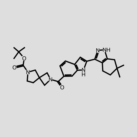 CC1(C)CCc2c(-c3cc4ccc(C(=O)N5CC6(CCN(C(=O)OC(C)(C)C)C6)C5)cc4[nH]3)n[nH]c2C1